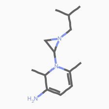 CC1=CC=C(N)C(C)N1C1CN1CC(C)C